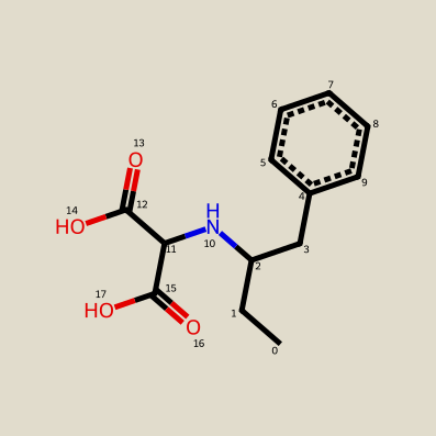 CCC(Cc1ccccc1)NC(C(=O)O)C(=O)O